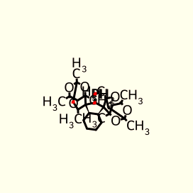 CC12CC3(C)OC(C)(CC(C)(O1)C3(CP)[C@@H]1CCCC[C@@H]1C1(CP)C3(C)CC4(C)OC(C)(CC1(C)O4)O3)O2